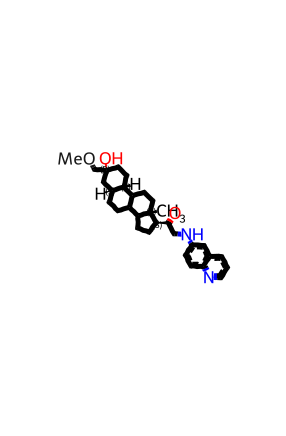 COC[C@@]1(O)CC[C@@H]2C3CC[C@@]4(C)C(CC[C@@H]4C(=O)CNc4ccc5ncccc5c4)C3CC[C@H]2C1